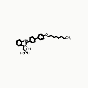 CCCCCCCCOc1ccc(-c2ccc(C(=O)Nc3ccccc3CCP(=O)(O)O)cc2)cc1